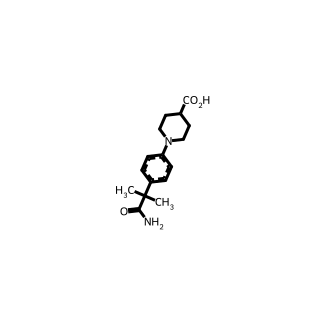 CC(C)(C(N)=O)c1ccc(N2CCC(C(=O)O)CC2)cc1